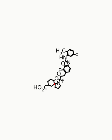 Cc1ccc(F)cc1Nc1nc2ccc(CC(=O)C(F)(OC3CCC(C(=O)O)CC3)N3CCCC3)c(F)c2o1